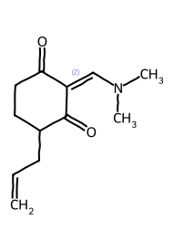 C=CCC1CCC(=O)/C(=C/N(C)C)C1=O